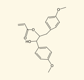 C=CC(=O)OC(Cc1ccc(OC)cc1)C(O)c1ccc(OC)cc1